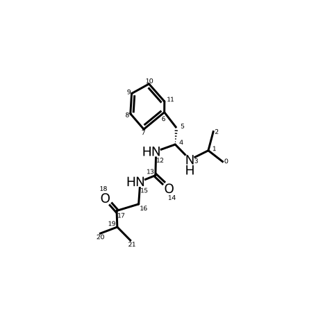 CC(C)N[C@@H](Cc1ccccc1)NC(=O)NCC(=O)C(C)C